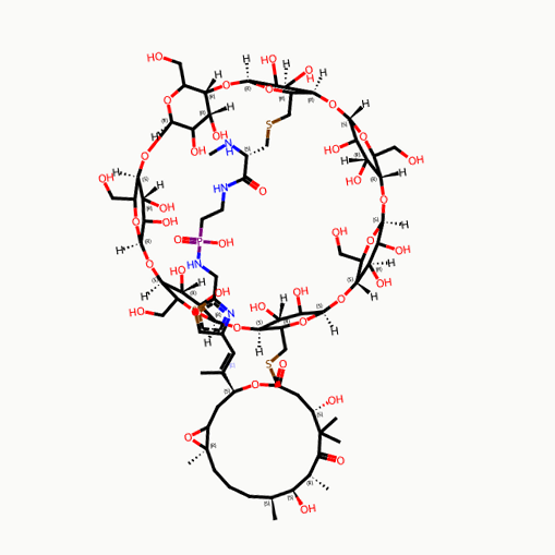 CN[C@H](CSCC1O[C@H]2O[C@H]3C(CO)O[C@H](O[C@@H]4C(CO)O[C@H](O[C@@H]5C(CO)O[C@H](O[C@@H]6C(CSC)O[C@H](O[C@@H]7C(CO)O[C@@H](O[C@H]8C(CO)O[C@@H](O[C@@H]1[C@H](O)C2O)C(O)[C@H]8O)C(O)[C@H]7O)C(O)[C@H]6O)C(O)[C@H]5O)C(O)[C@H]4O)C(O)[C@H]3O)C(=O)NCCP(=O)(O)NCc1nc(/C=C(\C)[C@@H]2CC3O[C@]3(C)CCC[C@H](C)[C@H](O)[C@@H](C)C(=O)C(C)(C)[C@@H](O)CC(=O)O2)cs1